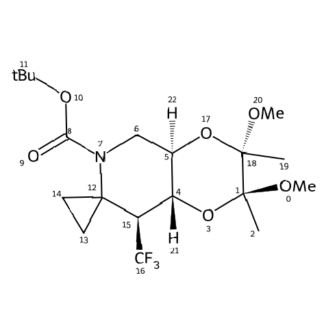 CO[C@@]1(C)O[C@H]2[C@@H](CN(C(=O)OC(C)(C)C)C3(CC3)[C@@H]2C(F)(F)F)O[C@]1(C)OC